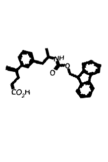 C=C(CCC(=O)O)c1cccc(CC(C)NC(=O)OCC2c3ccccc3-c3ccccc32)c1